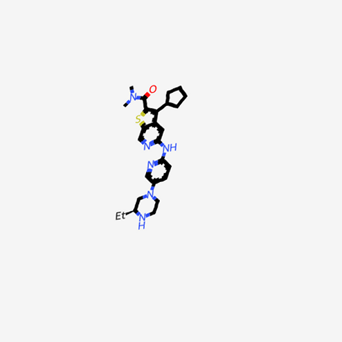 CC[C@H]1CN(c2ccc(Nc3cc4c(C5CCCC5)c(C(=O)N(C)C)sc4cn3)nc2)CCN1